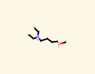 [CH2]OCCCCN(CC)CC